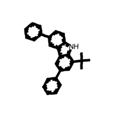 CC(C)(C)c1cc(-c2ccccc2)cc2c1[nH]c1ccc(-c3ccccc3)cc12